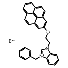 [Br-].c1ccc(C[n+]2cn(CCOc3cc4ccc5cccc6ccc(c3)c4c56)c3ccccc32)cc1